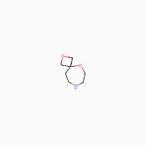 C1COC2(CCN1)COC2